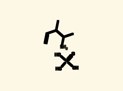 C=CC(C)C(C)N.O=P(O)(O)O